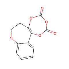 O=C1OC(=O)OC2=C(CCOc3ccccc32)O1